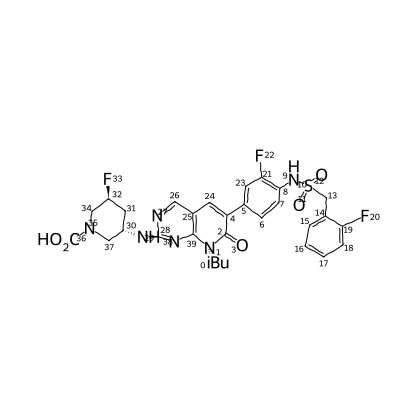 CC[C@@H](C)n1c(=O)c(-c2ccc(NS(=O)(=O)Cc3ccccc3F)c(F)c2)cc2cnc(N[C@H]3C[C@H](F)CN(C(=O)O)C3)nc21